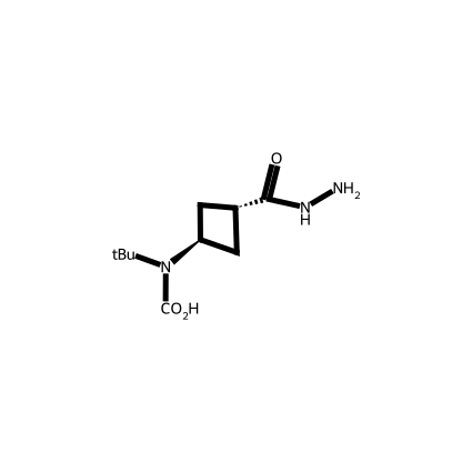 CC(C)(C)N(C(=O)O)[C@H]1C[C@H](C(=O)NN)C1